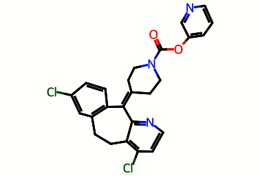 O=C(Oc1cccnc1)N1CCC(=C2c3ccc(Cl)cc3CCc3c(Cl)ccnc32)CC1